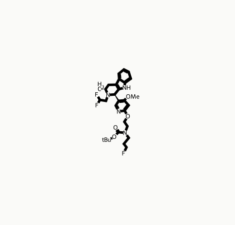 COc1cc(OCCN(CCCF)C(=O)OC(C)(C)C)ncc1[C@@H]1c2[nH]c3ccccc3c2C[C@@H](C)N1CC(F)F